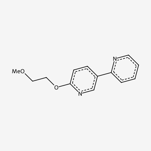 COCCOc1ccc(-c2ccccn2)cn1